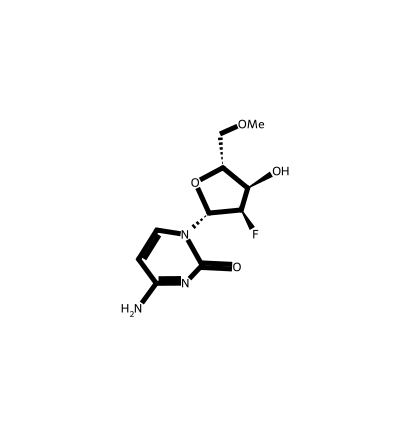 COC[C@H]1O[C@@H](n2ccc(N)nc2=O)[C@H](F)[C@@H]1O